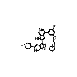 Fc1cc(OCCN2CCCC2)cc(-c2cncc3[nH]c(-c4n[nH]c5cnc(C6=CCNCC6)cc45)cc23)c1